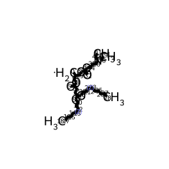 [CH2]C(COC(=O)CCC(OCC/C=C\CCCCC)OCC/C=C\CCCCC)COC(=O)OCCCN(CC)CC